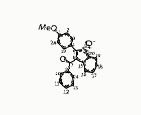 COc1ccc(-c2c(C(=O)c3ccccc3)c3ccccc3[s+]2[O-])cc1